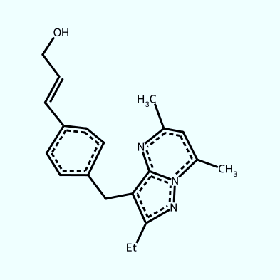 CCc1nn2c(C)cc(C)nc2c1Cc1ccc(C=CCO)cc1